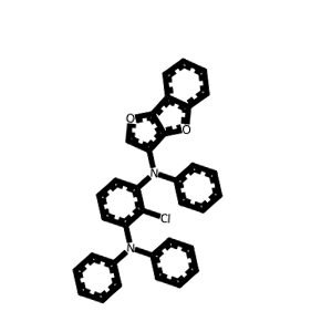 Clc1c(N(c2ccccc2)c2ccccc2)cccc1N(c1ccccc1)c1coc2c1oc1ccccc12